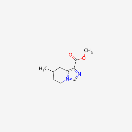 COC(=O)c1ncn2c1CC(C)CC2